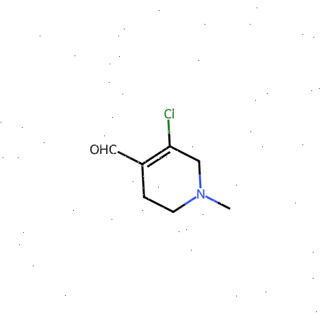 CN1CCC(C=O)=C(Cl)C1